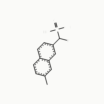 Cc1ccc2ccc(C(F)P(=O)(O)O)cc2c1